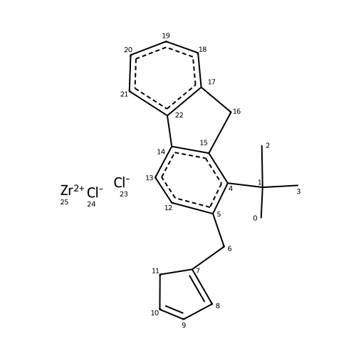 CC(C)(C)c1c(CC2=CC=CC2)ccc2c1Cc1ccccc1-2.[Cl-].[Cl-].[Zr+2]